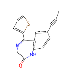 CC#Cc1ccc2c(c1)C(c1cccs1)=NCC(=O)N2